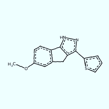 COc1ccc2c(c1)Cc1c(-c3cccs3)n[nH]c1-2